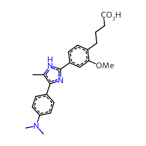 COc1cc(-c2nc(-c3ccc(N(C)C)cc3)c(C)[nH]2)ccc1CCCC(=O)O